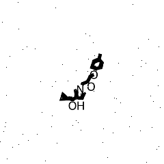 Cc1ccc(OCC(=O)Cn2ccc(C(O)=C3CC3)c2)cc1